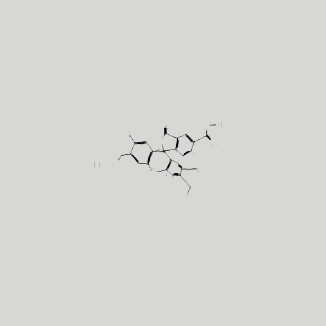 CC(C)(C)OC(=O)c1ccc2c(c1)C(=O)OC21c2cc(Cl)c(CC(=O)O)cc2Oc2cc(CC(=O)O)c(Cl)cc21